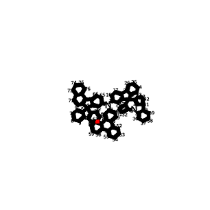 c1ccc(C2(c3ccccc3)c3cc(N(c4ccc5c(c4)C4(c6ccccc6-5)c5ccccc5-n5c6ccccc6c6cccc4c65)c4ccc5c6ccccc6c6ccccc6c5c4)ccc3-c3c2ccc2ccccc32)cc1